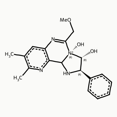 COCC1=Nc2cc(C)c(C)nc2C2N[C@H](c3ccccc3)[C@@H](O)[N@+]12O